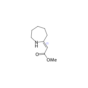 COC(=O)/C=C1/CCCCCN1